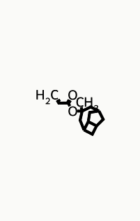 C=CC(=O)OC1(C)CC2CC3CC(C1)C3C2